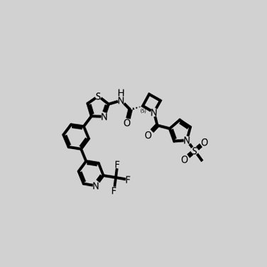 CS(=O)(=O)n1ccc(C(=O)N2CC[C@H]2C(=O)Nc2nc(-c3cccc(-c4ccnc(C(F)(F)F)c4)c3)cs2)c1